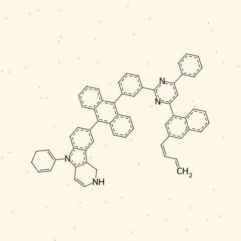 C=C/C=C\c1cc(-c2cc(-c3ccccc3)nc(-c3cccc(-c4c5ccccc5c(-c5ccc6c(c5)c5c(n6C6=CCCC=C6)C=CNC5)c5ccccc45)c3)n2)c2ccccc2c1